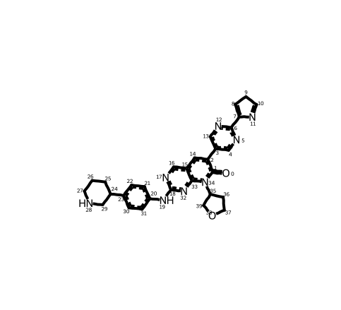 O=c1c(-c2cnc(C3=CCC=N3)nc2)cc2cnc(Nc3ccc(C4CCCNC4)cc3)nc2n1C1CCOC1